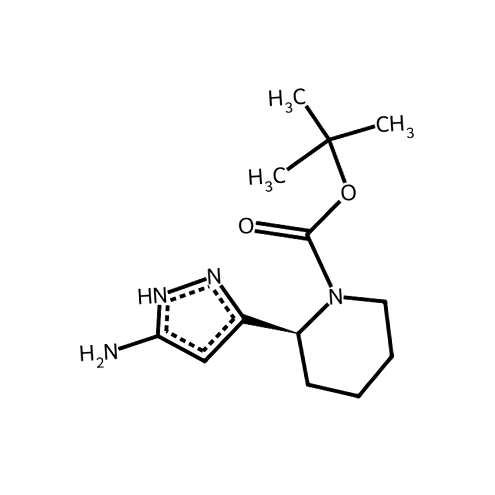 CC(C)(C)OC(=O)N1CCCC[C@H]1c1cc(N)[nH]n1